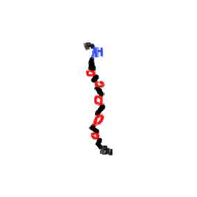 CCC(C)CCOCCOCCOCCOCCOCCNC(C)C